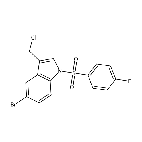 O=S(=O)(c1ccc(F)cc1)n1cc(CCl)c2cc(Br)ccc21